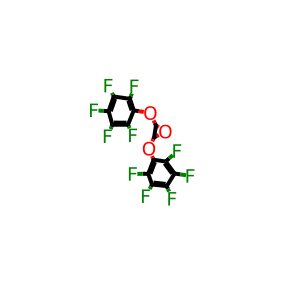 Fc1c(F)c(F)c(OC2OC2Oc2c(F)c(F)c(F)c(F)c2F)c(F)c1F